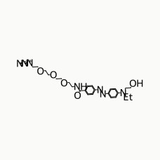 CCN(CCO)c1ccc(N=Nc2ccc(C(=O)NCCOCCOCCOCCN=[N+]=[N-])cc2)cc1